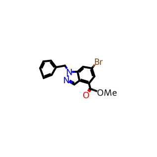 COC(=O)c1cc(Br)cc2c1cnn2Cc1ccccc1